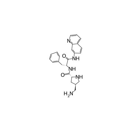 NC[C@@H]1CN[C@@H](C(=O)N[C@H](Cc2ccccc2)C(=O)Nc2ccc3cccnc3c2)C1